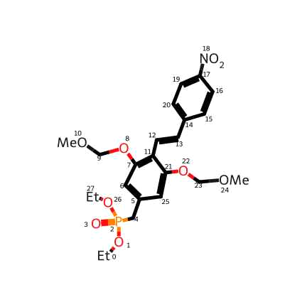 CCOP(=O)(Cc1cc(OCOC)c(/C=C/c2ccc([N+](=O)[O-])cc2)c(OCOC)c1)OCC